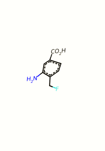 Nc1cc(C(=O)O)ccc1CF